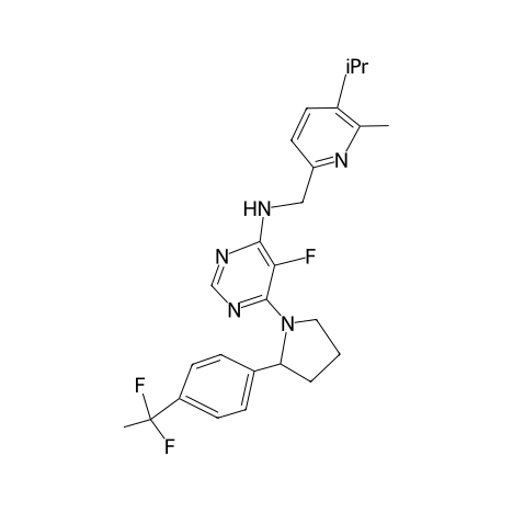 Cc1nc(CNc2ncnc(N3CCCC3c3ccc(C(C)(F)F)cc3)c2F)ccc1C(C)C